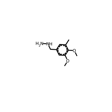 COc1cc(CNN)cc(C)c1OC